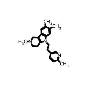 Cc1ccc(CCn2c3c(c4cc(C)c(C)cc42)CN(C)CC3)cn1